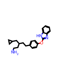 NCCC(CCc1ccc(Oc2nc3ccccc3[nH]2)cc1)CC1CC1